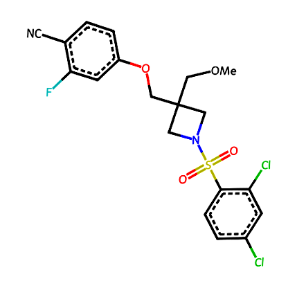 COCC1(COc2ccc(C#N)c(F)c2)CN(S(=O)(=O)c2ccc(Cl)cc2Cl)C1